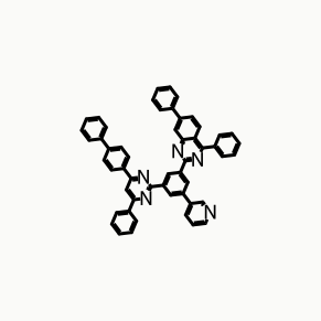 c1ccc(-c2ccc(-c3cc(-c4ccccc4)nc(-c4cc(-c5cccnc5)cc(-c5nc(-c6ccccc6)c6ccc(-c7ccccc7)cc6n5)c4)n3)cc2)cc1